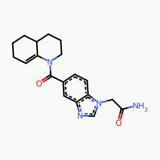 NC(=O)Cn1cnc2cc(C(=O)N3CCCC4CCCC=C43)ccc21